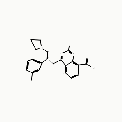 Cc1nc(C[C@H](CN2CCC2)c2cccc(F)c2)c2cccc(C(N)=O)c2n1